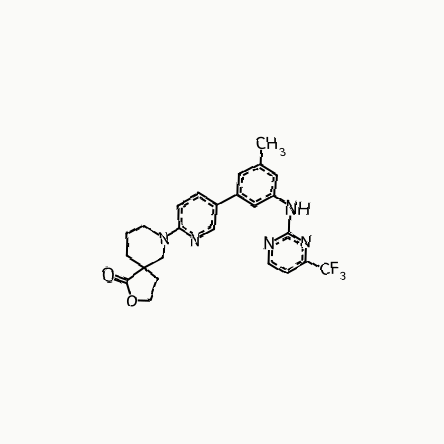 Cc1cc(Nc2nccc(C(F)(F)F)n2)cc(-c2ccc(N3CCCC4(CCOC4=O)C3)nc2)c1